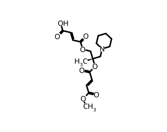 COC(=O)/C=C/C(=O)O[C@](C)(COC(=O)/C=C/C(=O)O)CN1CCCCC1